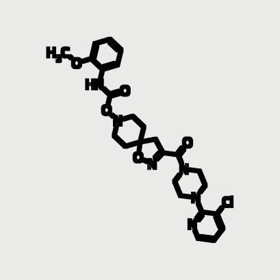 COc1ccccc1NC(=O)ON1CCC2(CC1)CC(C(=O)N1CCN(c3ncccc3Cl)CC1)=NO2